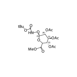 COC(=O)C1O[C@@H](ONC(=O)OC(C)(C)C)[C@H](OC(C)=O)[C@@H](OC(C)=O)[C@@H]1OC(C)=O